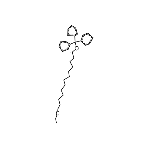 CCCCCCCCCCCCCCC[CH]OC(c1ccccc1)(c1ccccc1)c1ccccc1